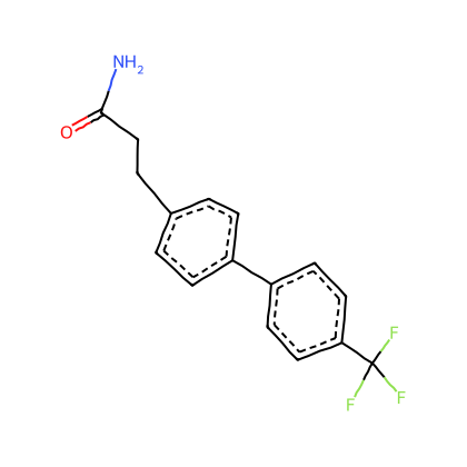 NC(=O)CCc1ccc(-c2ccc(C(F)(F)F)cc2)cc1